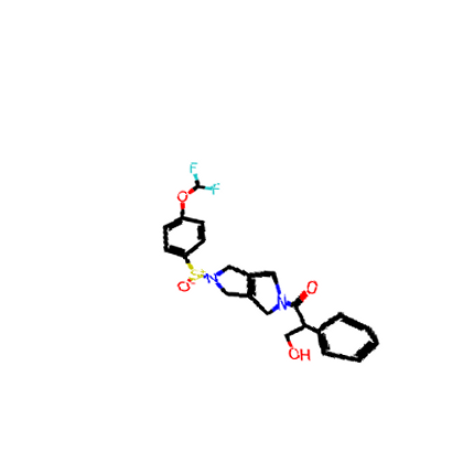 O=C(C(CO)c1ccccc1)N1CC2=C(C1)CN([S+]([O-])c1ccc(OC(F)F)cc1)C2